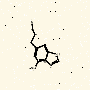 COc1cc(CCCBr)cc2[nH]cnc12